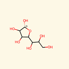 OCC(O)C(O)C1O[C@@H](O)C(O)C1O